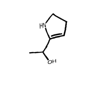 CC(O)C1=CCCN1